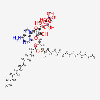 CCCCCCCCCCCCCCCCC(C)SCC(CO[C@H]1[C@H](O)[C@@H](C(O)OP(=O)(O)OP(=O)(O)O)O[C@@H]1n1cnc2c(N)ncnc21)OC(=O)CCCCCCCCCCCCCCC